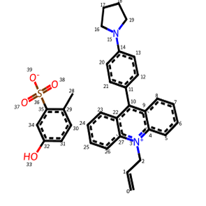 C=CC[n+]1c2ccccc2c(-c2ccc(N3CCCC3)cc2)c2ccccc21.Cc1ccc(O)cc1S(=O)(=O)[O-]